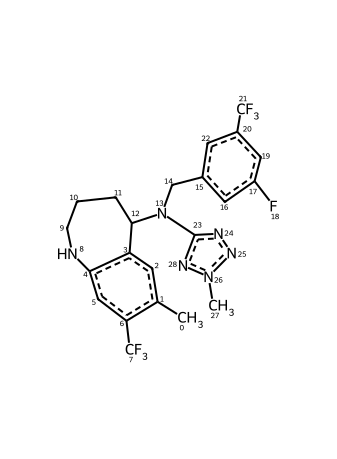 Cc1cc2c(cc1C(F)(F)F)NCCCC2N(Cc1cc(F)cc(C(F)(F)F)c1)c1nnn(C)n1